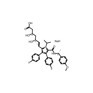 COc1ccc([C@@H](C)NC(=O)c2c(-c3ccc(F)cc3)c(-c3ccc(F)cc3)c(/C=C/[C@@H](O)C[C@@H](O)CC(=O)O)n2C(C)C)cc1.[NaH]